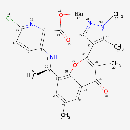 Cc1cc([C@@H](C)Nc2ccc(Cl)nc2C(=O)OC(C)(C)C)c2oc(-c3cnn(C)c3C)c(C)c(=O)c2c1